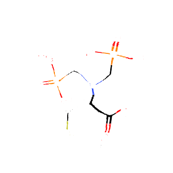 O=C(O)[C@H](CS)N(CP(=O)(O)O)CP(=O)(O)O